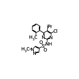 Cc1ccccc1-c1nc(NS(=O)(=O)c2cnn(C)c2)nc(Cl)c1C(C)C